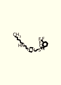 CCCCCCCNCCN1CCN(CCSc2nc3cccc(C(F)(F)F)c3o2)CC1